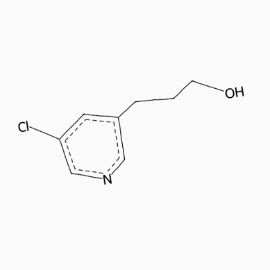 OCCCc1cncc(Cl)c1